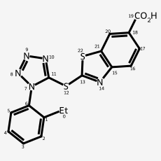 CCc1ccccc1-n1nnnc1Sc1nc2ccc(C(=O)O)cc2s1